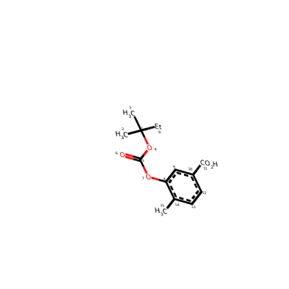 CCC(C)(C)OC(=O)Oc1cc(C(=O)O)ccc1C